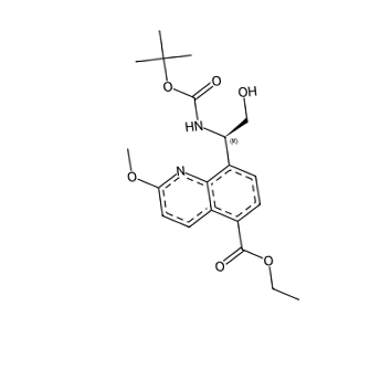 CCOC(=O)c1ccc([C@H](CO)NC(=O)OC(C)(C)C)c2nc(OC)ccc12